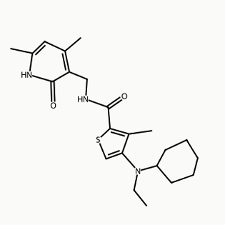 CCN(c1csc(C(=O)NCc2c(C)cc(C)[nH]c2=O)c1C)C1CCCCC1